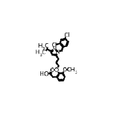 COc1cccc(CC(=O)O)c1OCCCc1cc(C(C)C)nn1Cc1ccc(Cl)cc1Cl